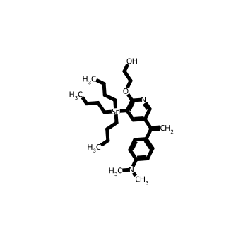 C=C(c1ccc(N(C)C)cc1)c1cnc(OCCO)[c]([Sn]([CH2]CCC)([CH2]CCC)[CH2]CCC)c1